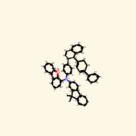 CC1(C)c2ccccc2-c2ccc(N(c3ccc(C4C=Cc5ccccc5C4C4=CC=C(c5ccccc5)CC4)cc3)c3cccc4c3oc3ccccc34)cc21